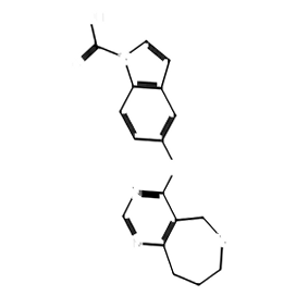 O=C(O)n1ccc2cc(Oc3ncnc4c3CNCCC4)ccc21